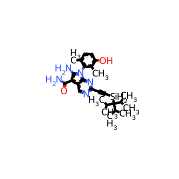 Cc1ccc(O)c(C)c1-n1c(N)c(C(N)=O)c2cnc(C#C[SiH2]C(C(C)C)(C(C)C)C(C)C)nc21